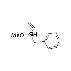 C=C[SiH](Cc1ccccc1)OC